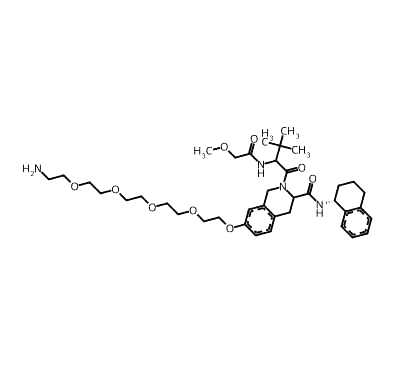 COCC(=O)NC(C(=O)N1Cc2cc(OCCOCCOCCOCCOCCN)ccc2CC1C(=O)N[C@@H]1CCCc2ccccc21)C(C)(C)C